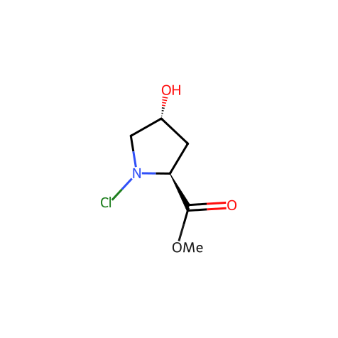 COC(=O)[C@@H]1C[C@@H](O)CN1Cl